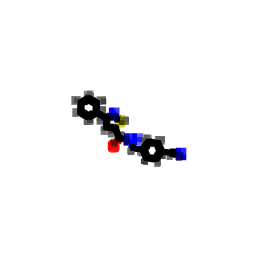 N#Cc1ccc(CNC(=O)c2cc(-c3ccccc3)ns2)cc1